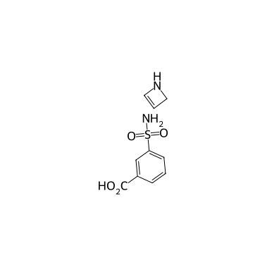 C1=CNC1.NS(=O)(=O)c1cccc(C(=O)O)c1